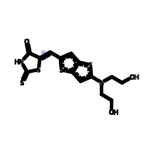 O=C1NC(=S)S/C1=C\c1cc2sc(N(CCO)CCO)cc2s1